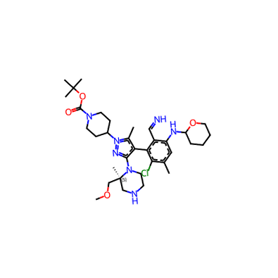 COC[C@]1(C)CNCCN1c1nn(C2CCN(C(=O)OC(C)(C)C)CC2)c(C)c1-c1c(Cl)c(C)cc(NC2CCCCO2)c1C=N